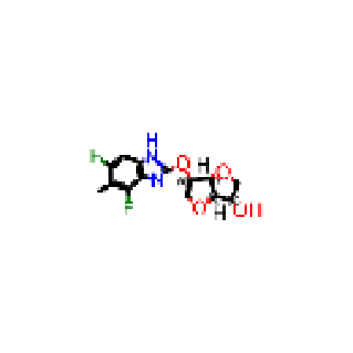 Cc1c(F)cc2[nH]c(O[C@@H]3CO[C@H]4[C@@H]3OC[C@H]4O)nc2c1F